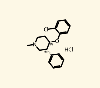 CN1CC[C@@H](Oc2ccccc2Cl)[C@H](c2ccccc2)C1.Cl